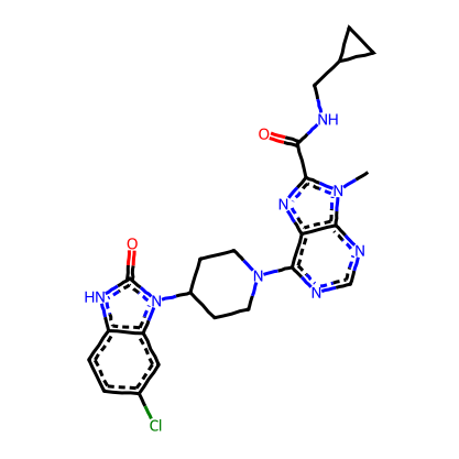 Cn1c(C(=O)NCC2CC2)nc2c(N3CCC(n4c(=O)[nH]c5ccc(Cl)cc54)CC3)ncnc21